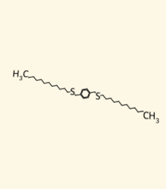 CCCCCCCCCCCCSCc1ccc(CSCCCCCCCCCCCC)cc1